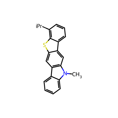 CC(C)c1cccc2c1sc1cc3c4ccccc4n(C)c3cc12